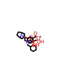 COC(=O)c1cccc(C2CC3CCC(C2)N3CCN(CC2CCCCC2)C(=O)[C@@H](O)CO)c1